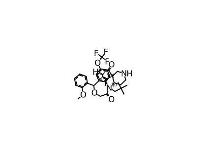 COc1ccccc1C1OCC(=O)[N+](CC(C)(C)C)([C@@H]2CCNC[C@@]2(C(C)=O)C(=O)O)c2ccc(OC(F)(F)F)cc21